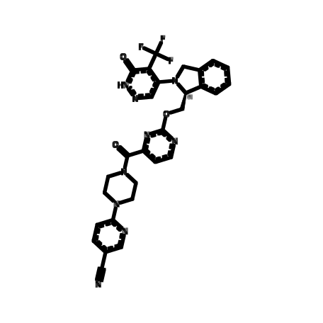 N#Cc1ccc(N2CCN(C(=O)c3ccnc(OC[C@@H]4c5ccccc5CN4c4cn[nH]c(=O)c4C(F)(F)F)n3)CC2)nc1